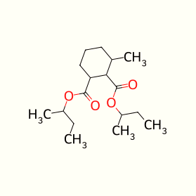 CCC(C)OC(=O)C1CCCC(C)C1C(=O)OC(C)CC